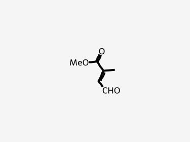 COC(=O)C(C)=CC=O